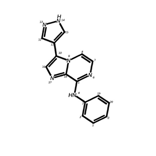 c1ccc(Nc2nccn3c(-c4cn[nH]c4)cnc23)cc1